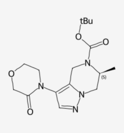 C[C@H]1Cn2ncc(N3CCOCC3=O)c2CN1C(=O)OC(C)(C)C